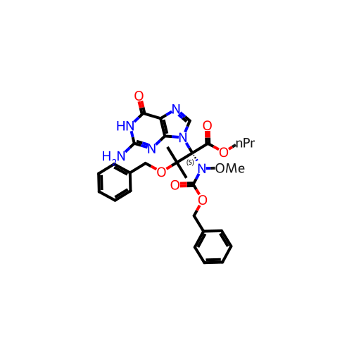 CCCOC(=O)[C@](N(OC)C(=O)OCc1ccccc1)(n1cnc2c(=O)[nH]c(N)nc21)C(C)(C)OCc1ccccc1